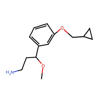 COC(CCN)c1cccc(OCC2CC2)c1